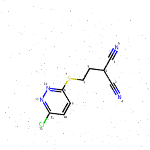 N#CC(C#N)CCSc1ccc(Cl)nn1